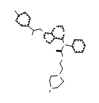 CN1CCN(CCOC(=O)N(c2ccccc2)c2ncnc3c2cnn3CC(Cl)c2ccc(Br)cc2)CC1